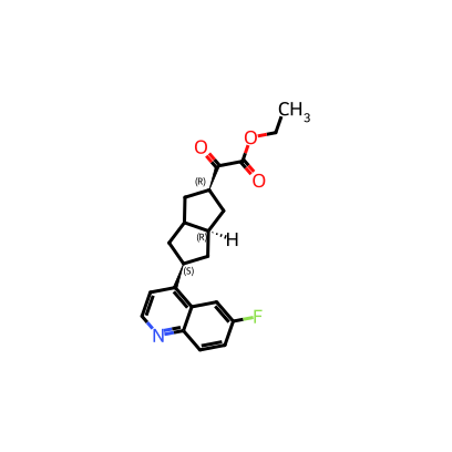 CCOC(=O)C(=O)[C@@H]1CC2C[C@H](c3ccnc4ccc(F)cc34)C[C@@H]2C1